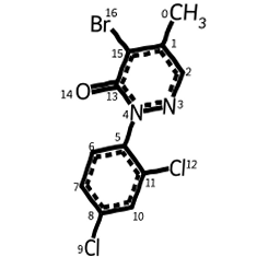 Cc1cnn(-c2ccc(Cl)cc2Cl)c(=O)c1Br